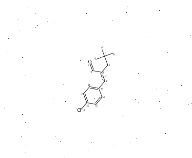 CC(C)(C)C/C(C=O)=C/c1ccc(Cl)cc1